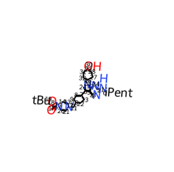 CCC[C@H](C)Nc1ncc2c(C3=CCC(CN4CCN(C(=O)OC(C)(C)C)CC4)CC3)cn([C@H]3CC[C@H](O)CC3)c2n1